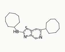 B(c1nc2cnc(C3CCCCCCC3)cc2s1)C1CCCCCCC1